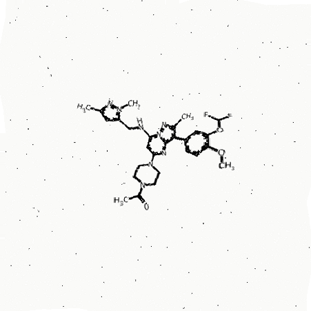 COc1ccc(-c2c(C)nn3c(NCc4cc(C)nn4C)cc(N4CCN(C(C)=O)CC4)nc23)cc1OC(F)F